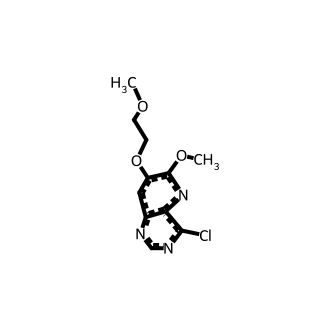 COCCOc1cc2ncnc(Cl)c2nc1OC